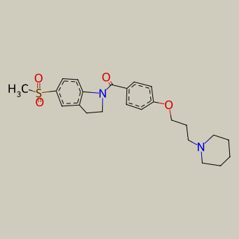 CS(=O)(=O)c1ccc2c(c1)CCN2C(=O)c1ccc(OCCCN2CCCCC2)cc1